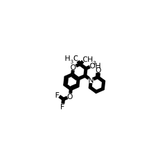 CC1(C)Oc2ccc(OC(F)F)cc2C(N2CCCCC2=O)C1O